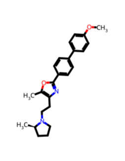 COc1ccc(-c2ccc(-c3nc(CCN4CCC[C@H]4C)c(C)o3)cc2)cc1